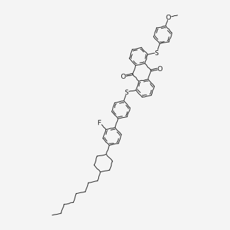 CCCCCCCCC1CCC(c2ccc(-c3ccc(Sc4cccc5c4C(=O)c4cccc(Sc6ccc(OC)cc6)c4C5=O)cc3)c(F)c2)CC1